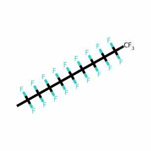 CC(F)(F)C(F)(F)C(F)(F)C(F)(F)C(F)(F)C(F)(F)C(F)(F)C(F)(F)C(F)(F)C(F)(F)F